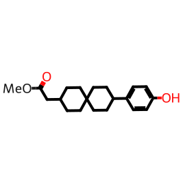 COC(=O)CC1CCC2(CC1)CCC(c1ccc(O)cc1)CC2